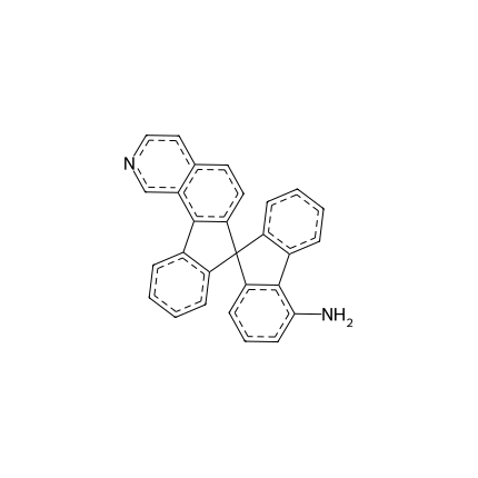 Nc1cccc2c1-c1ccccc1C21c2ccccc2-c2c1ccc1ccncc21